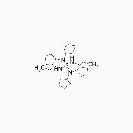 CCCN[Si](NCCC)(N(C1CCCC1)C1CCCC1)N(C1CCCC1)C1CCCC1